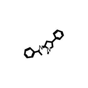 CC(/N=C1/CC(c2ccccc2)CN1C)c1ccccc1